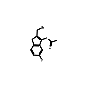 CC(=O)OC1=C(CBr)Cc2ccc(F)cc21